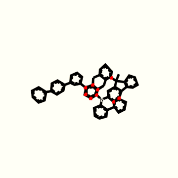 CC1(C)c2ccccc2-c2ccc(N(c3ccccc3-c3ccccc3)c3ccc(-c4cccc(-c5ccc(-c6ccccc6)cc5)c4)c4c3C3c5ccccc5C4c4ccccc43)cc21